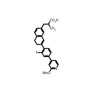 COc1cc(-c2ccc(C3=Cc4cc(CC(C)C(=O)O)ccc4CC3)c(F)c2)ccn1